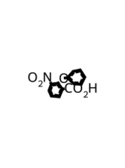 O=C(O)c1cccc([N+](=O)[O-])c1Oc1ccccc1